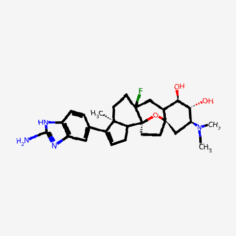 CN(C)[C@H]1C[C@@]23CC[C@]4(O2)C2CC=C(c5ccc6[nH]c(N)nc6c5)[C@@]2(C)CCC4(F)CC3[C@@H](O)[C@@H]1O